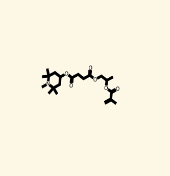 C=C(C)C(=O)OC(C)COC(=O)CCC(=O)OC1CC(C)(C)N(C)C(C)(C)C1